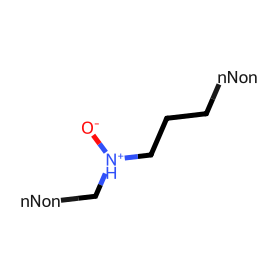 CCCCCCCCCCCC[NH+]([O-])CCCCCCCCCC